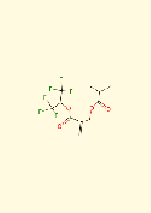 C=C(COC(=O)C(C)C)C(=O)OC(C(F)(F)F)C(F)(F)F